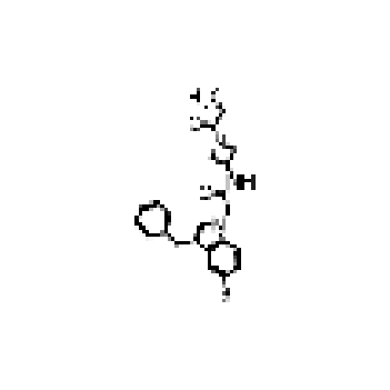 C=CC(=O)N1CC(NC(=O)Cn2cc(Cc3ccccc3)c3cc(Br)ccc32)C1